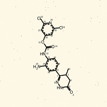 CC1CC(=O)NN=C1c1ccc(NC(=O)Oc2cc(Cl)nc(Cl)c2)c(N)c1